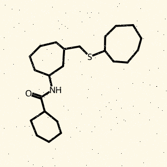 O=C(NC1CCCCC(CSC2CCCCCCC2)C1)C1CCCCC1